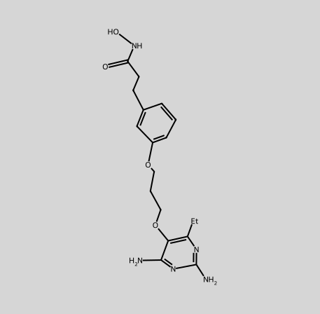 CCc1nc(N)nc(N)c1OCCCOc1cccc(CCC(=O)NO)c1